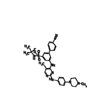 Cc1cnc(Nc2ccc(N3CCN(C)CC3)cc2)nc1Nc1cc(-c2ccc(C#N)cc2)cc(S(=O)(=O)NC(C)(C)C)c1